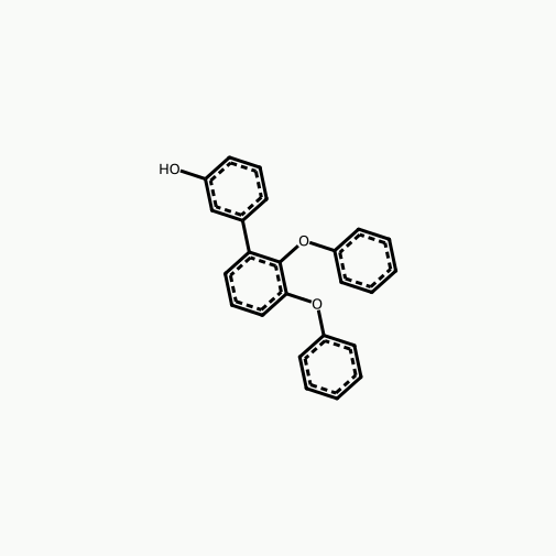 Oc1cccc(-c2cccc(Oc3ccccc3)c2Oc2ccccc2)c1